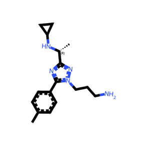 Cc1ccc(-c2nc([C@@H](C)NC3CC3)nn2CCCN)cc1